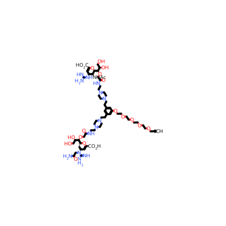 C#CCOCCOCCOCCOCCOc1cc(CCN2CCN(CCNC(=O)CO[C@H]([C@H](O)CO)[C@H]3C[C@@H](N(CC(N)=O)C(=N)N)C=C(C(=O)O)O3)CC2)cc(CCN2CCN(CCNC(=O)CO[C@@H]([C@@H]3OC(C(=O)O)=C[C@H](NC(=N)N)[C@H]3NC(C)=O)[C@H](O)CO)CC2)c1